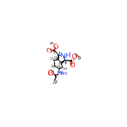 COC(=O)c1[nH]c(C(=O)OC)c2c1CCC(NC(C)=O)C2